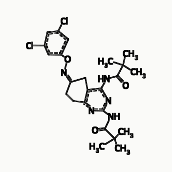 CC(C)(C)C(=O)Nc1nc2c(c(NC(=O)C(C)(C)C)n1)C/C(=N\Oc1cc(Cl)cc(Cl)c1)CC2